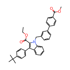 CCOC(=O)c1c(-c2ccc(C(C)(C)C)cc2)c2ccccc2n1Cc1cccc(-c2ccc(C(=O)OC)cc2)c1